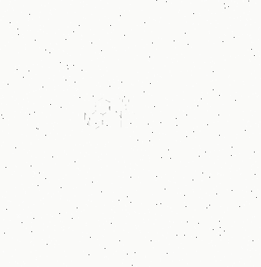 CCCCCCCCCCC(C)(C)C(=O)Nc1c(SC)ccc2ncccc12